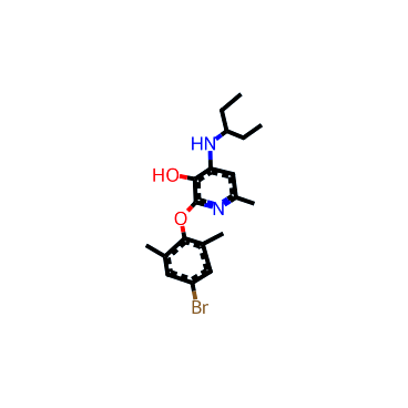 CCC(CC)Nc1cc(C)nc(Oc2c(C)cc(Br)cc2C)c1O